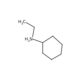 CC[SiH2]C1[CH]CC[CH]C1